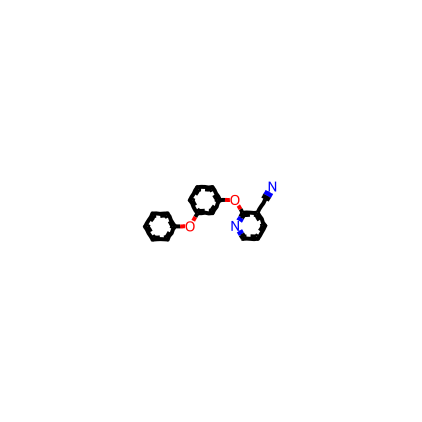 N#Cc1cccnc1Oc1cccc(Oc2ccccc2)c1